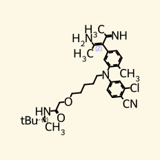 CC(=N)/C(=C(/C)N)c1ccc(C)c(N(CCCCCOCC(=O)N[C@H](C)C(C)(C)C)c2ccc(C#N)c(Cl)c2)c1